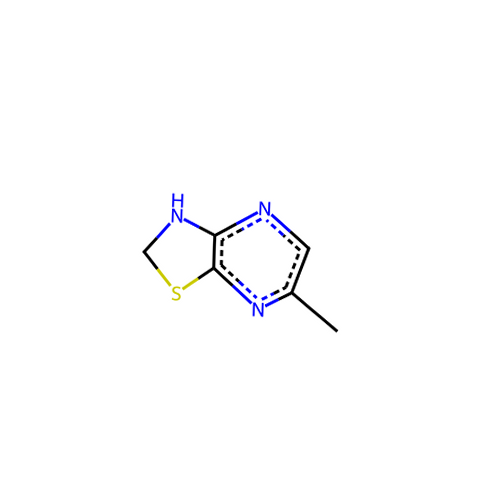 Cc1cnc2c(n1)SCN2